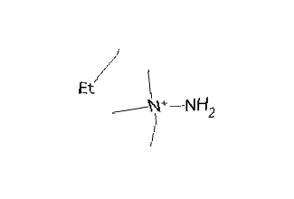 CCC.C[N+](C)(C)N